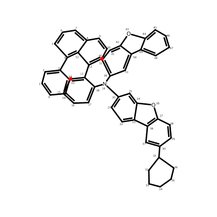 c1ccc(-c2cccc3cccc(-c4ccccc4N(c4ccc5c(c4)oc4ccc(C6CCCCC6)cc45)c4ccc5oc6ccccc6c5c4)c23)cc1